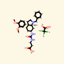 COc1ccc([C@@]23CC[C@@H](NC(=O)NCCC(=O)O)C[C@@H]2N(Cc2ccccc2)CC3)cc1OC.O=C(O)C(F)(F)F